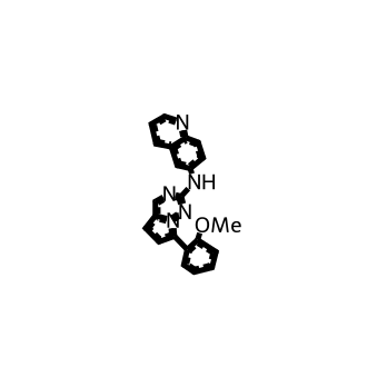 COc1ccccc1-c1ccc2cnc(Nc3ccc4ncccc4c3)nn12